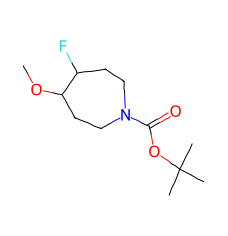 COC1CCN(C(=O)OC(C)(C)C)CCC1F